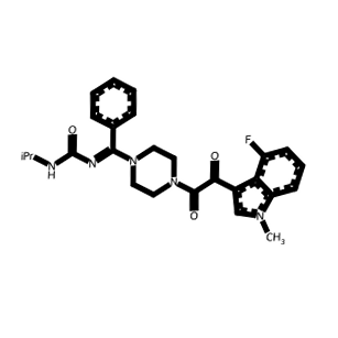 CC(C)NC(=O)/N=C(\c1ccccc1)N1CCN(C(=O)C(=O)c2cn(C)c3cccc(F)c23)CC1